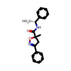 CC1(C(=O)N[C@H](C(=O)O)c2ccccc2)CC(c2ccccc2)=NO1